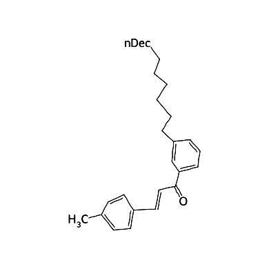 CCCCCCCCCCCCCCCCc1cccc(C(=O)C=Cc2ccc(C)cc2)c1